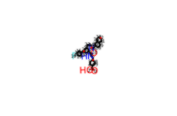 O=C(O)c1ccc(CNC(=O)c2cc(-c3ccc(F)cc3)cc3ccn(Cc4ccc5ccccc5c4)c23)cc1